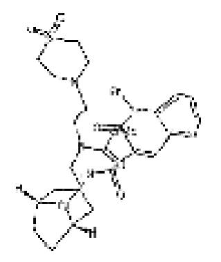 COC(=O)N(CCN1CCS(=O)(=O)CC1)CCN1[C@@H]2CC[C@H]1C[C@@H](NC(=O)c1cc3ccccc3n(C(C)C)c1=O)C2